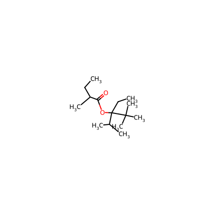 CCC(C)C(=O)OC(CC)(C(C)C)C(C)(C)C